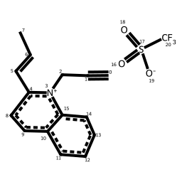 C#CC[n+]1c(C=CC)ccc2ccccc21.O=S(=O)([O-])C(F)(F)F